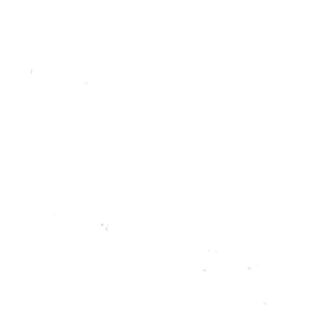 CCCCCCCCC(CCC)OC(=O)CCCCCN(CCO)CCCCCCCC(=O)OC(CCCCCCCC)CCCCCCCC